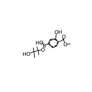 COC(=O)c1ccc(B(O)OC(C)(C)C(C)(C)O)cc1O